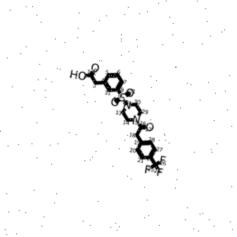 O=C(O)Cc1cccc(S(=O)(=O)N2CCN(C(=O)Cc3ccc(C(F)(F)F)cc3)CC2)c1